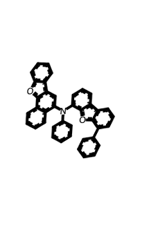 c1ccc(-c2cccc3c2oc2c(N(c4ccccc4)c4cc5c6ccccc6oc5c5ccccc45)cccc23)cc1